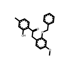 COc1ccc(CC(=O)c2ccc(C)cc2O)c(OCc2ccccc2)c1